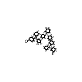 C=O.[Ir].c1ccc(P(c2ccccc2)c2ccccc2)cc1.c1ccc(P(c2ccccc2)c2ccccc2)cc1.c1ccc(P(c2ccccc2)c2ccccc2)cc1